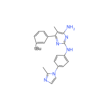 Cc1c(N)nc(Nc2ccc(-n3ccnc3C)cc2)nc1-c1cccc(C(C)(C)C)c1